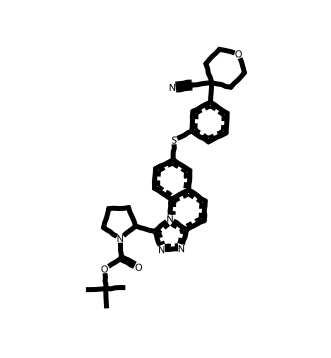 CC(C)(C)OC(=O)N1CCCC1c1nnc2ccc3cc(Sc4cccc(C5(C#N)CCOCC5)c4)ccc3n12